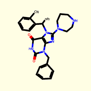 CCCC(c1ccccc1C#N)n1c(N2CCCNCC2)nc2c1c(=O)[nH]c(=O)n2Cc1ccccc1